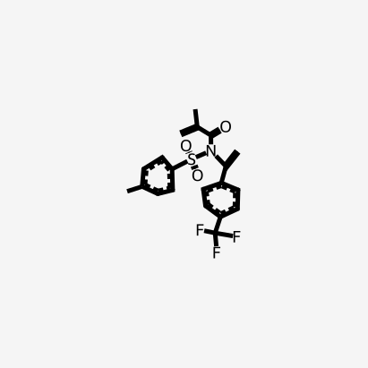 C=C(C)C(=O)N(C(=C)c1ccc(C(F)(F)F)cc1)S(=O)(=O)c1ccc(C)cc1